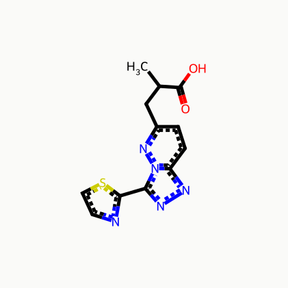 CC(Cc1ccc2nnc(-c3nccs3)n2n1)C(=O)O